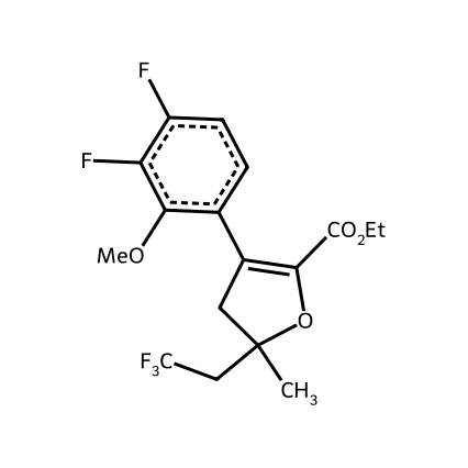 CCOC(=O)C1=C(c2ccc(F)c(F)c2OC)CC(C)(CC(F)(F)F)O1